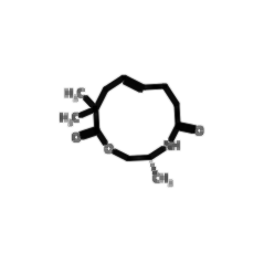 C[C@@H]1COC(=O)C(C)(C)C/C=C/CCC(=O)N1